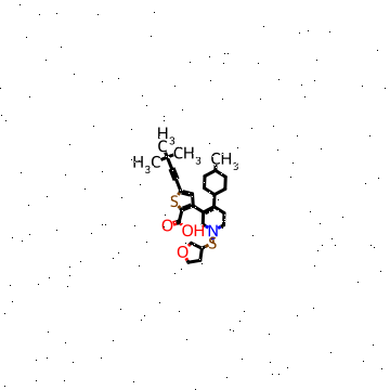 CC1CCC(C2=C(c3cc(C#CC(C)(C)C)sc3C(=O)O)CN(SC3CCOC3)CC2)CC1